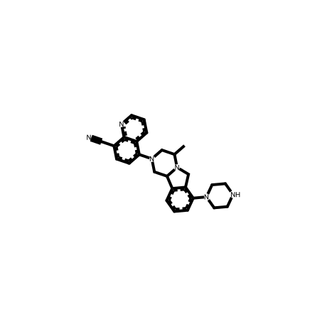 CC1CN(c2ccc(C#N)c3ncccc23)CC2c3cccc(N4CCNCC4)c3CN12